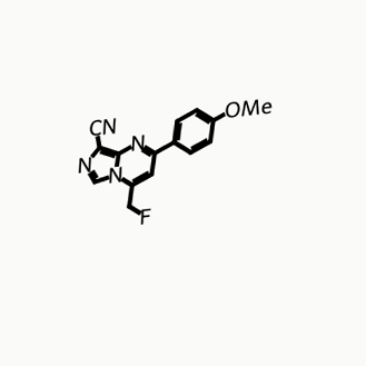 COc1ccc(-c2cc(CF)n3cnc(C#N)c3n2)cc1